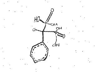 O=P(O)(O)C(Cl)(c1ccccc1)P(=O)(O)O